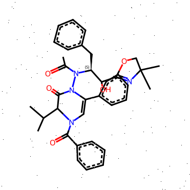 CC(=O)N([C@@H](Cc1ccccc1)C(O)C1=NC(C)(C)CO1)N1C(=O)C(C(C)C)N(C(=O)c2ccccc2)C=C1c1ccccc1